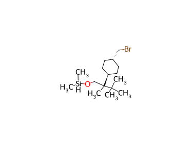 C[SiH](C)OCC(C)([C@H]1CC[C@H](CBr)CC1)C(C)(C)C